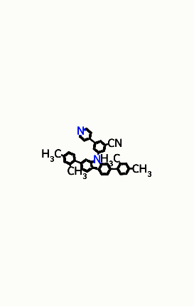 Cc1ccc(-c2ccc3c4ccc(-c5ccc(C)cc5C)cc4n(-c4cc(C#N)cc(-c5ccncc5)c4)c3c2)c(C)c1